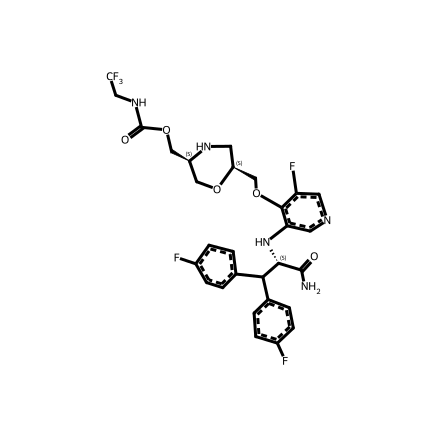 NC(=O)[C@@H](Nc1cncc(F)c1OC[C@@H]1CN[C@H](COC(=O)NCC(F)(F)F)CO1)C(c1ccc(F)cc1)c1ccc(F)cc1